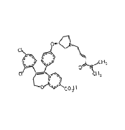 CN(C)C(=O)C=CCN1CC[C@H](Oc2ccc(C3=C(c4ccc(Cl)cc4Cl)CCOc4cc(C(=O)O)ccc43)cc2)C1